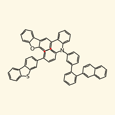 c1cc(-c2ccccc2-c2ccc3ccccc3c2)cc(N(c2ccc(-c3ccc4c(c3)sc3ccccc34)cc2)c2ccccc2-c2ccc3oc4ccccc4c3c2)c1